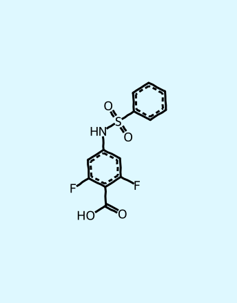 O=C(O)c1c(F)cc(NS(=O)(=O)c2ccccc2)cc1F